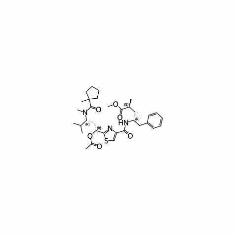 COC(=O)[C@@H](C)C[C@H](Cc1ccccc1)NC(=O)c1csc([C@@H](C[C@H](C(C)C)N(C)C(=O)C2(C)CCCC2)OC(C)=O)n1